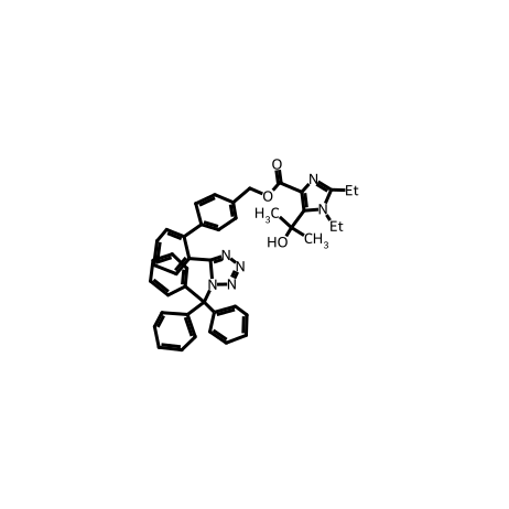 CCc1nc(C(=O)OCc2ccc(-c3ccccc3-c3nnnn3C(c3ccccc3)(c3ccccc3)c3ccccc3)cc2)c(C(C)(C)O)n1CC